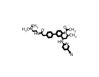 CC(=O)N1c2ccc(-c3ccc(CC(=O)NCCN(C)C)cc3)cc2[C@H](Nc2ccc(C#N)cn2)C[C@@H]1C